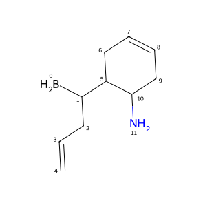 BC(CC=C)C1CC=CCC1N